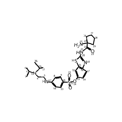 CC(C)N(CCNc1ccc(S(=O)(=O)Oc2ccc3nc(NC(=O)C4(N)CCCC4)sc3c2)cc1)C(C)C